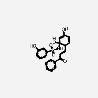 O=C(C=CC1C=CC(O)=CC1(O)NS(=O)(=O)c1cccc(O)c1)c1ccccc1